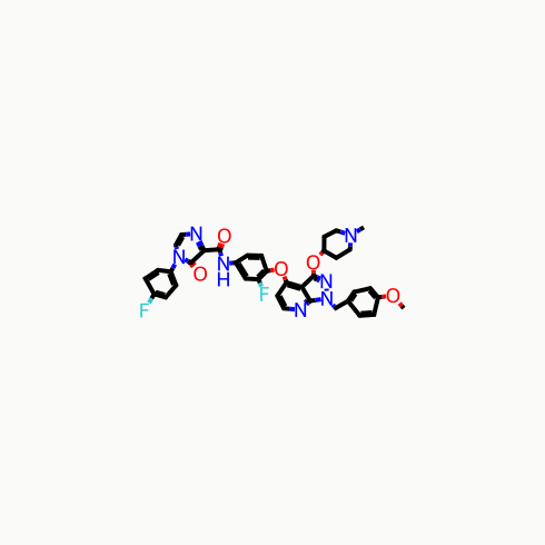 COc1ccc(Cn2nc(OC3CCN(C)CC3)c3c(Oc4ccc(NC(=O)c5nccn(-c6ccc(F)cc6)c5=O)cc4F)ccnc32)cc1